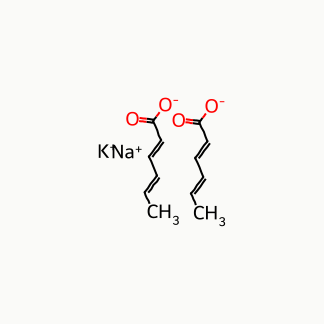 CC=CC=CC(=O)[O-].CC=CC=CC(=O)[O-].[K+].[Na+]